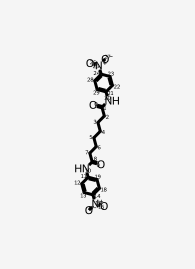 O=C(CCCCCCC(=O)Nc1ccc([N+](=O)[O-])cc1)Nc1ccc([N+](=O)[O-])cc1